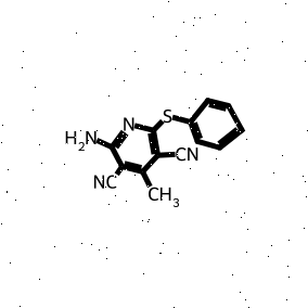 Cc1c(C#N)c(N)nc(Sc2ccccc2)c1C#N